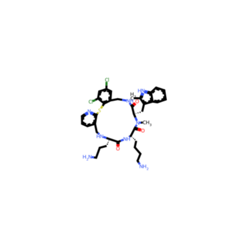 Cc1[nH]c2ccccc2c1C[C@H]1C(=O)NCc2cc(Cl)cc(Cl)c2Sc2ncccc2CN[C@@H](CCCN)C(=O)N[C@@H](CCCCN)C(=O)N1C